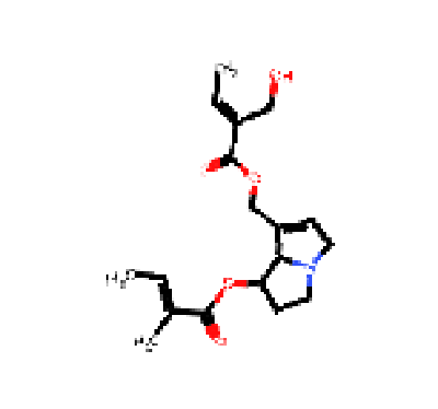 CC=C(C)C(=O)OC1CCN2CC=C(COC(=O)C(=CC)CO)C12